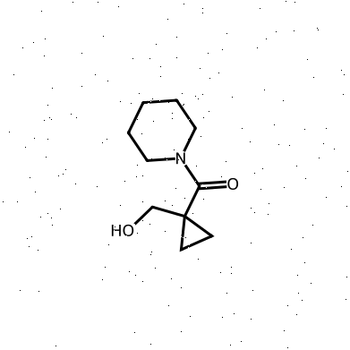 O=C(N1CCCCC1)C1(CO)CC1